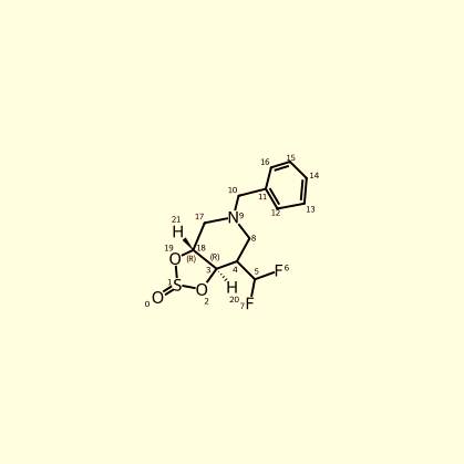 O=S1O[C@@H]2C(C(F)F)CN(Cc3ccccc3)C[C@H]2O1